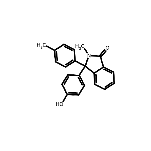 Cc1ccc(C2(c3ccc(O)cc3)c3ccccc3C(=O)N2C)cc1